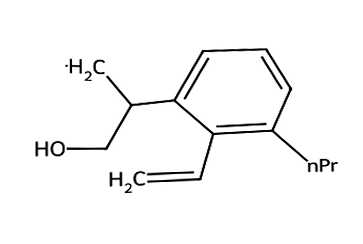 [CH2]C(CO)c1cccc(CCC)c1C=C